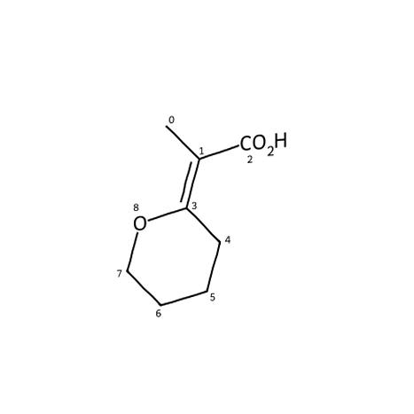 CC(C(=O)O)=C1CCCCO1